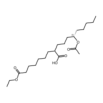 CCCCC[C@@H](CCCC(CCCCCCC(=O)OCC)C(=O)O)OC(C)=O